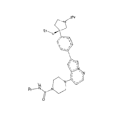 CCO[C@@]1(c2ccc(-c3cc4c(N5CCN(C(=O)NC(C)C)CC5)ccnn4c3)cc2)CCN(C(C)C)C1